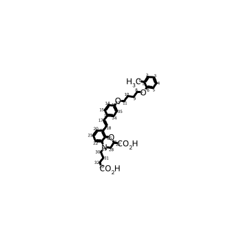 Cc1ccccc1OCCCCOc1ccc(C=Cc2cccc3c2OC(C(=O)O)CN3CCCC(=O)O)cc1